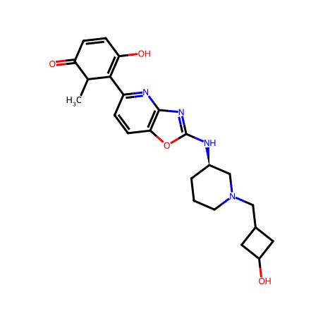 CC1C(=O)C=CC(O)=C1c1ccc2oc(N[C@@H]3CCCN(CC4CC(O)C4)C3)nc2n1